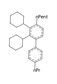 CCCCCc1ccc(-c2ccc(CCC)cc2)c(C2CCCCC2)c1C1CCCCC1